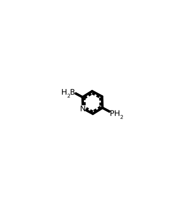 Bc1ccc(P)cn1